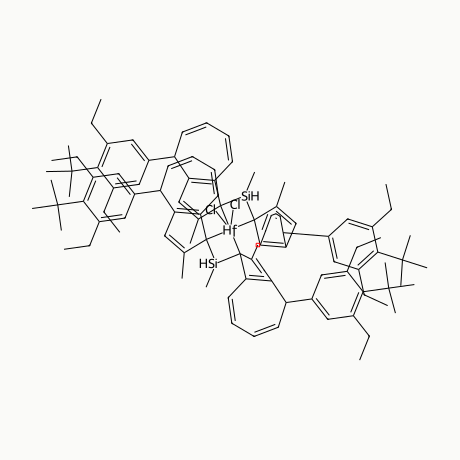 CCc1cc(C2C=CC=CC3=C2C=C(C)[C]32[SiH](C)[C]3(C(C)=CC4=C3C=CC=CC4c3cc(CC)c(C(C)(C)C)c(CC)c3)[Hf]23([Cl])([Cl])[C]2(C(C)=CC4=C2C=CC=CC4c2cc(CC)c(C(C)(C)C)c(CC)c2)[SiH](C)[C]32C(C)=CC3=C2C=CC=CC3c2cc(CC)c(C(C)(C)C)c(CC)c2)cc(CC)c1C(C)(C)C